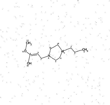 CCCN1CCN(C/C=C(\O)OC)CC1